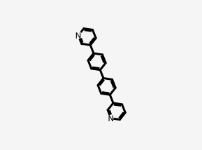 c1cncc(-c2ccc(-c3ccc(-c4cccnc4)cc3)cc2)c1